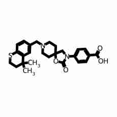 CC1(C)CCSc2ccc(CN3CCC4(CC3)CN(c3ccc(C(=O)O)cc3)C(=O)O4)cc21